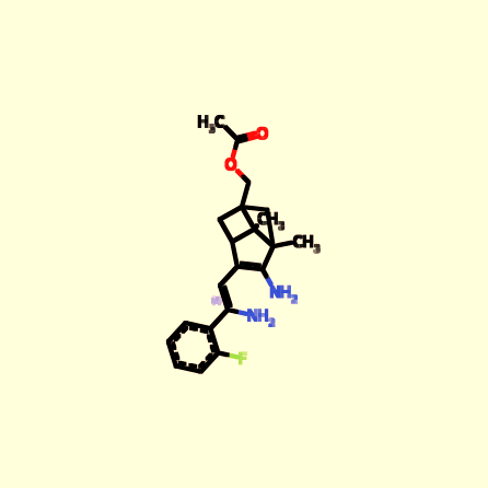 CC(=O)OCC12CC3C(/C=C(\N)c4ccccc4F)=C(N)C(C)(C1)C32C